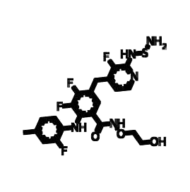 Cc1ccc(Nc2c(C(=O)NOCCO)cc(Cc3ccnc(NSN)c3F)c(F)c2F)c(F)c1